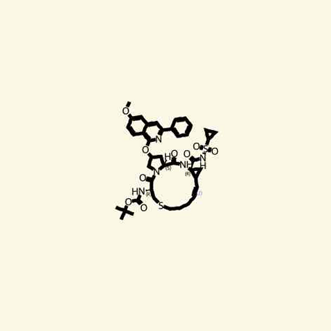 COc1ccc2c(OC3C[C@H]4C(=O)N[C@]5(C(=O)NS(=O)(=O)C6CC6)CC5/C=C\CCCSC[C@H](NC(=O)OC(C)(C)C)C(=O)N4C3)nc(-c3ccccc3)cc2c1